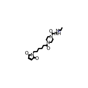 C/C=N/NC(=O)N1CCN(C(=O)CCCCCN2C(=O)C=CC2=O)CC1